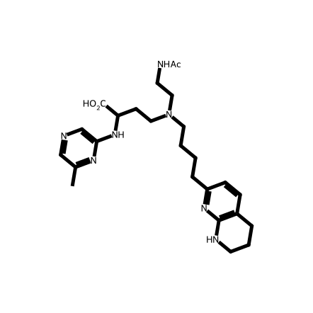 CC(=O)NCCN(CCCCc1ccc2c(n1)NCCC2)CCC(Nc1cncc(C)n1)C(=O)O